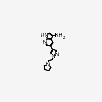 Nc1c[nH]c2ncc(-c3cnn(CCN4CCCC4)c3)cc12